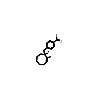 C/C1=C/CCCCCC1(F)Cc1ccc(C(=O)I)cc1